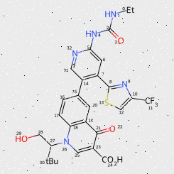 CCNC(=O)Nc1cc(-c2nc(C(F)(F)F)cs2)c(-c2ccc3c(c2)c(=O)c(C(=O)O)cn3C(CO)C(C)(C)C)cn1